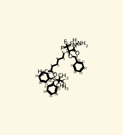 CC(CCCCC[C@@](OCc1ccccc1)(C(=O)NN)C(F)(F)F)O[Si](c1ccccc1)(c1ccccc1)C(C)(C)C